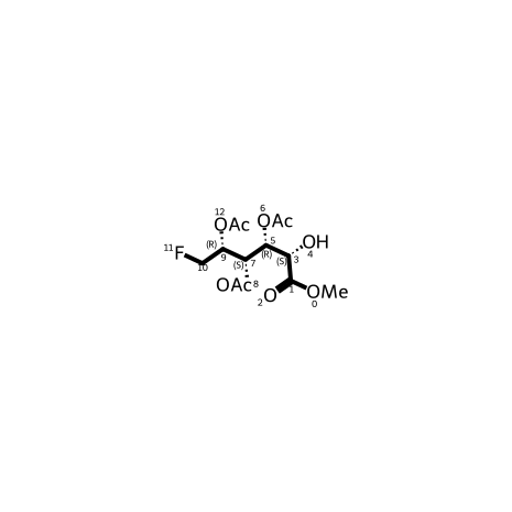 COC(=O)[C@@H](O)[C@@H](OC(C)=O)[C@H](OC(C)=O)[C@H](CF)OC(C)=O